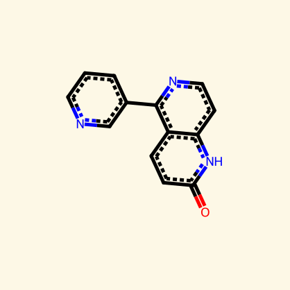 O=c1ccc2c(-c3cccnc3)nccc2[nH]1